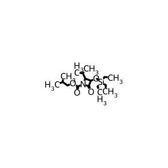 CC[Si](CC)(CC)OC1C(=O)N(C(=O)OCC(C)C)C1C(C)C